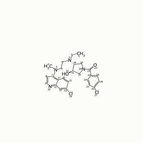 CCN(CCN(C)c1ccnc2cc(Cl)ccc12)[C@@H]1CN(C(=O)c2ccc(Cl)cc2)C[C@H]1O